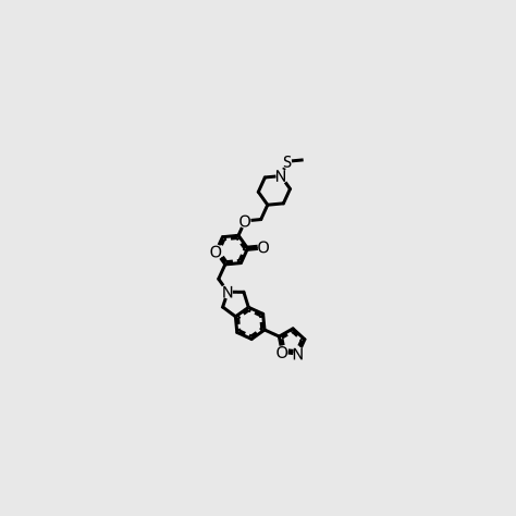 CSN1CCC(COc2coc(CN3Cc4ccc(-c5ccno5)cc4C3)cc2=O)CC1